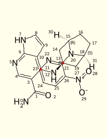 NC(=O)c1cnc2[nH]ccc2c1N[C@H]1C[C@H]2CC[C@@H](C1)N2c1ncccc1[N+](=O)[O-]